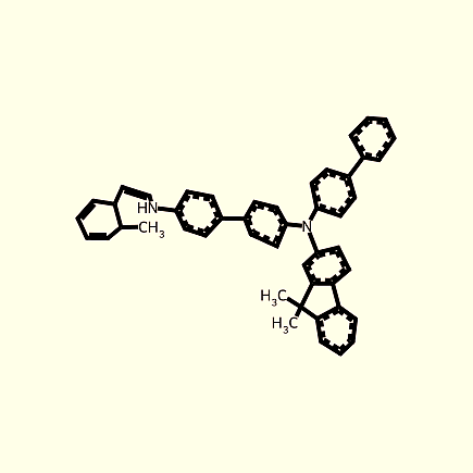 CC1C=CC=CC1/C=C\Nc1ccc(-c2ccc(N(c3ccc(-c4ccccc4)cc3)c3ccc4c(c3)C(C)(C)c3ccccc3-4)cc2)cc1